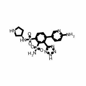 Nc1ccc(-c2ccc(S(=O)(=O)N[C@@H]3CCNC3)c(S(N)(=O)=O)c2-c2nn[nH]n2)cn1